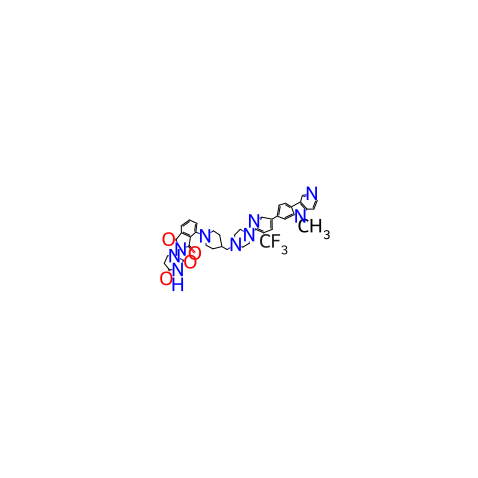 Cn1c2ccncc2c2ccc(-c3cnc(N4CCN(CC5CCN(c6cccc7c6C(=O)N(N6CCC(=O)NC6=O)C7=O)CC5)CC4)c(C(F)(F)F)c3)cc21